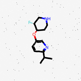 CC(C)c1ccc(O[C@@H]2CCNC[C@H]2F)cn1